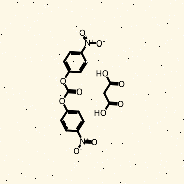 O=C(O)CC(=O)O.O=C(Oc1ccc([N+](=O)[O-])cc1)Oc1ccc([N+](=O)[O-])cc1